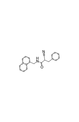 N#CC(Cc1ccccc1)C(=O)NCc1cccc2ccccc12